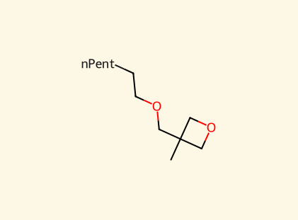 CCCCCCCOCC1(C)COC1